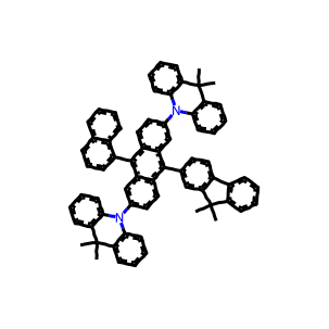 CC1(C)c2ccccc2-c2ccc(-c3c4cc(N5c6ccccc6C(C)(C)c6ccccc65)ccc4c(-c4cccc5ccccc45)c4cc(N5c6ccccc6C(C)(C)c6ccccc65)ccc34)cc21